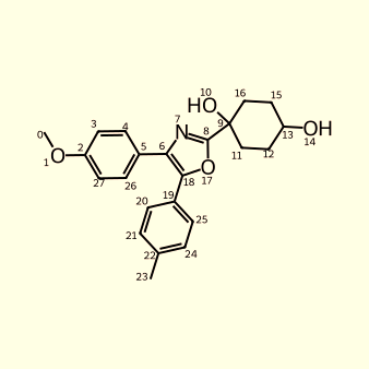 COc1ccc(-c2nc(C3(O)CCC(O)CC3)oc2-c2ccc(C)cc2)cc1